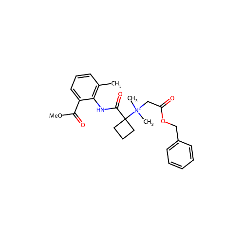 COC(=O)c1cccc(C)c1NC(=O)C1([N+](C)(C)CC(=O)OCc2ccccc2)CCC1